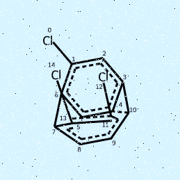 Clc1[c]c2c[c]c1-c1ccc-2c(Cl)c1Cl